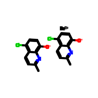 Cc1ccc2c(Cl)ccc([O-])c2n1.Cc1ccc2c(Cl)ccc([O-])c2n1.[Be+2]